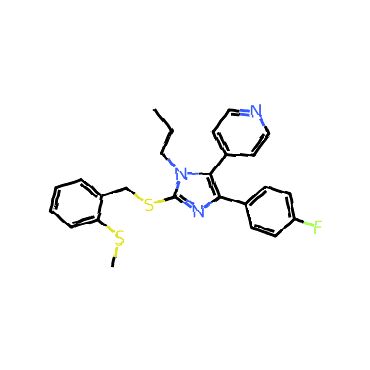 CCCn1c(SCc2ccccc2SC)nc(-c2ccc(F)cc2)c1-c1ccncc1